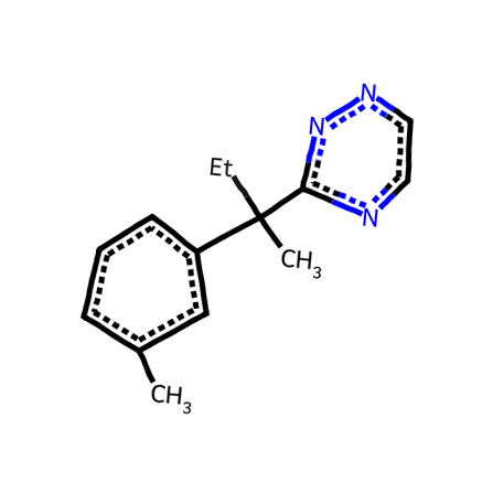 CCC(C)(c1cccc(C)c1)c1nccnn1